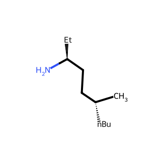 CCCC[C@@H](C)CC[C@@H](N)CC